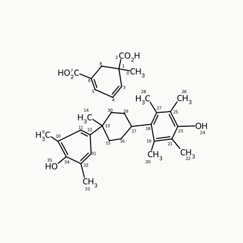 CC1(C(=O)O)C=CC=C(C(=O)O)C1.Cc1cc(C2(C)CCC(c3c(C)c(C)c(O)c(C)c3C)CC2)cc(C)c1O